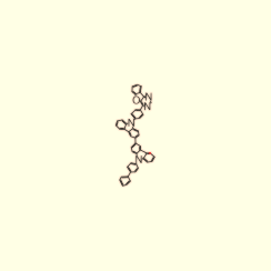 c1ccc(-c2ccc(-n3c4ccccc4c4cc(-c5ccc6c(c5)c5ccccc5n6-c5ccc(-c6ncnc7c6oc6ccccc67)cc5)ccc43)cc2)cc1